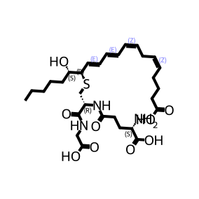 CCCCC[C@H](O)[C@@H](/C=C/C=C/C=C\C/C=C\CCCC(=O)O)SC[C@H](NC(=O)CC[C@H](N)C(=O)O)C(=O)NCC(=O)O